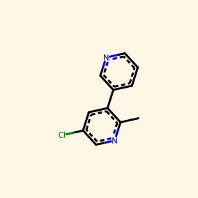 Cc1ncc(Cl)cc1-c1cccnc1